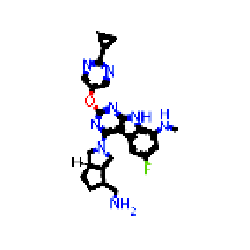 CNc1cc(F)cc2c1[nH]c1nc(Oc3cnc(C4CC4)nc3)nc(N3CC4C(CN)CC[C@H]4C3)c12